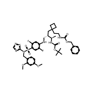 COc1ccc(CN(c2ncns2)S(=O)(=O)c2cc(F)c(NC[C@H](CC3(CCNC(=O)OCc4ccccc4)CCC3)[C@@H](C)NC(=O)OC(C)(C)C)cc2F)c(OC)c1